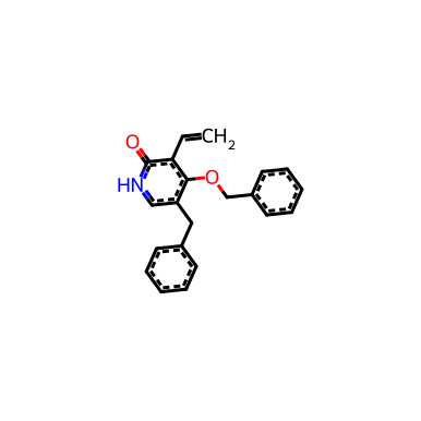 C=Cc1c(OCc2ccccc2)c(Cc2ccccc2)c[nH]c1=O